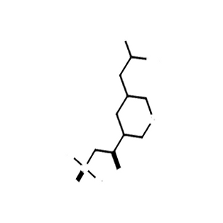 CC(CC1CNCC(C(=O)CP(=O)(O)O)C1)C(=O)O